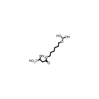 NC(CC(=O)OCCCCCCON(O)O)C(=O)O